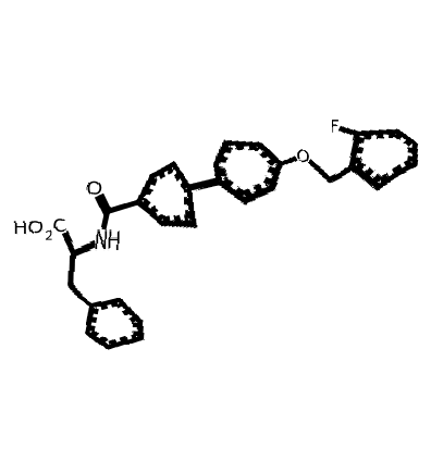 O=C(NC(Cc1ccccc1)C(=O)O)c1ccc(-c2ccc(OCc3ccccc3F)cc2)cc1